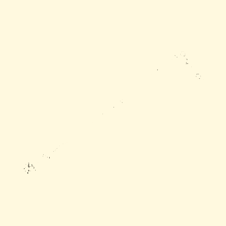 CC(C)[C@@H](NC(=O)c1cccc(C(=O)NCCOCCOCCOCCOCCOCCOCCOCCOCCC(=O)NCCOCCOCCOCCOCCOCCOCCOCCOCCOCCOCCOCCNC(=O)CCCC[C@@H]2SC[C@@H]3NC(=O)N[C@@H]32)c1)C(=O)N1CCC(c2ccc(Cl)cc2)CC1